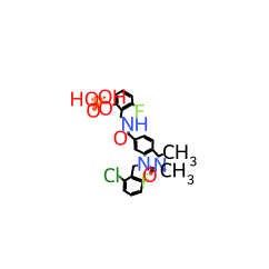 CC1c2ccc(C(=O)NCc3c(F)cccc3OP(=O)(O)O)cc2N(Cc2c(F)cccc2Cl)C(=O)N1C